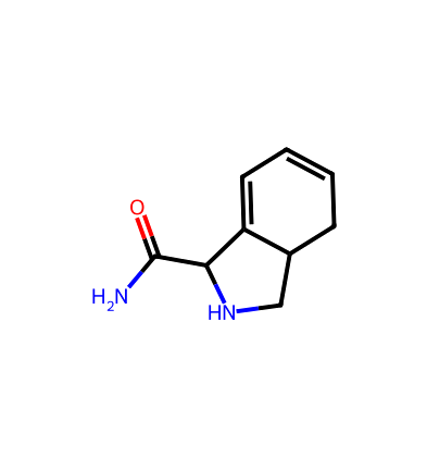 NC(=O)C1NCC2CC=CC=C21